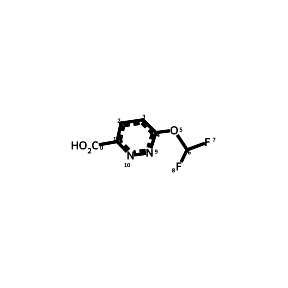 O=C(O)c1ccc(OC(F)F)nn1